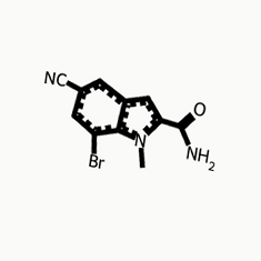 Cn1c(C(N)=O)cc2cc(C#N)cc(Br)c21